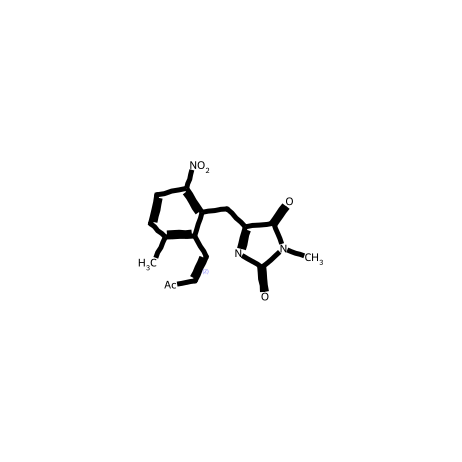 CC(=O)/C=C\c1c(C)ccc([N+](=O)[O-])c1CC1=NC(=O)N(C)C1=O